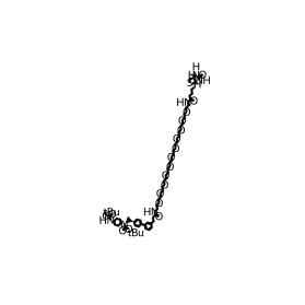 CC(C)(C)OC(=O)N[C@H]1CC[C@H](N(C(=O)OC(C)(C)C)[C@@H]2C[C@H]2c2ccc(-c3cccc(CCC(=O)NCCOCCOCCOCCOCCOCCOCCOCCOCCOCCOCCOCCNC(=O)CCCC[C@@H]4SC[C@@H]5NC(=O)N[C@@H]54)c3)cc2)CC1